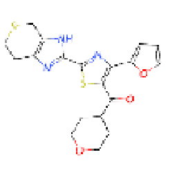 O=C(c1sc(-c2nc3c([nH]2)CSCC3)nc1-c1ccco1)C1CCOCC1